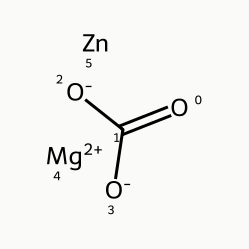 O=C([O-])[O-].[Mg+2].[Zn]